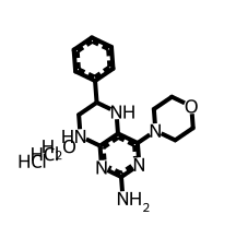 Cl.Cl.Nc1nc2c(c(N3CCOCC3)n1)NC(c1ccccc1)CN2.O